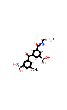 Cc1cc(B(O)O)cc(C(=O)c2cc(B(O)O)cc(C(=O)NCC(=O)O)c2)c1